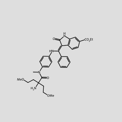 CCOC(=O)c1ccc2c(c1)NC(=O)/C2=C(\Nc1ccc(N(C)C(=O)C(N)(CCOC)CCOC)cc1)c1ccccc1